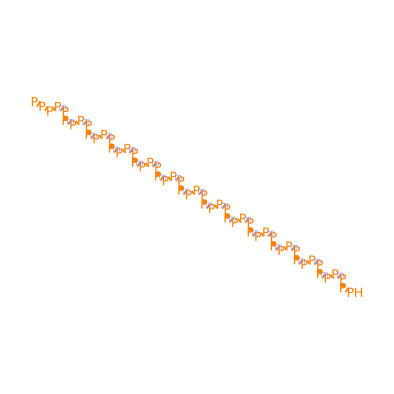 P#P=P\P=P/P=P\P=P/P=P\P=P/P=P\P=P/P=P\P=P/P=P\P=P/P=P\P=P/P=P\P=P/P=P\P=P/P=P\P=P/P=P\P=P/P=P\P=P/P=P\P=P/P=P